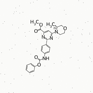 COC(=O)c1cc(N2CCOC[C@@H]2C)nc(-c2ccc(NC(=O)Oc3ccccc3)cc2)n1